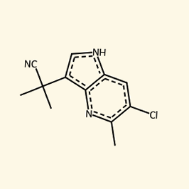 Cc1nc2c(C(C)(C)C#N)c[nH]c2cc1Cl